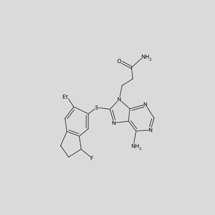 CCc1cc2c(cc1Sc1nc3c(N)ncnc3n1CCC(N)=O)C(F)CC2